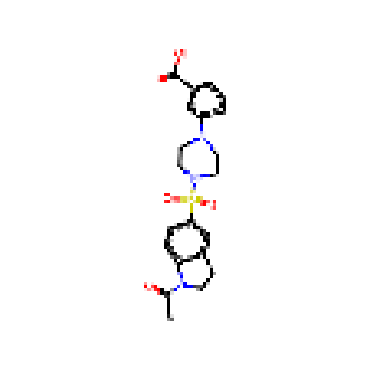 CC(=O)N1CCc2cc(S(=O)(=O)N3CCN(c4cccc(C(=O)O)c4)CC3)ccc21